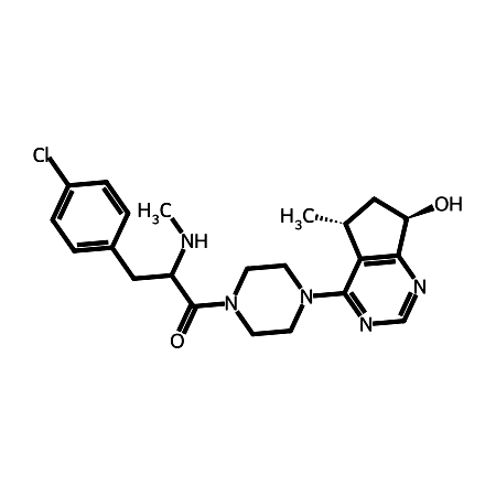 CNC(Cc1ccc(Cl)cc1)C(=O)N1CCN(c2ncnc3c2[C@H](C)C[C@H]3O)CC1